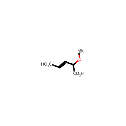 CCCCOC(C=CC(=O)O)C(=O)O